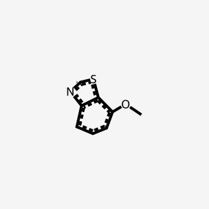 COc1cccc2n[c]sc12